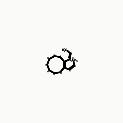 C\C=C/C1=C(\N=C/C)CCCCCCC1